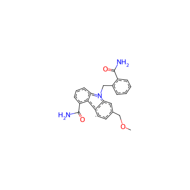 COCc1c[c]c2c3c(C(N)=O)cccc3n(Cc3ccccc3C(N)=O)c2c1